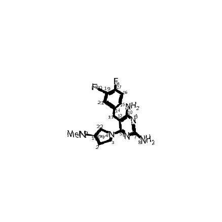 CN[C@@H]1CCN(c2nc(N)nc(N)c2Cc2ccc(F)c(F)c2)C1